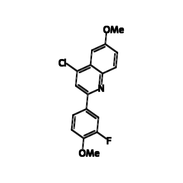 COc1ccc2nc(-c3ccc(OC)c(F)c3)cc(Cl)c2c1